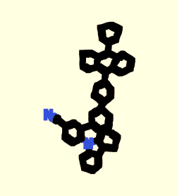 N#Cc1ccc(-n2c3ccccc3c3ccccc32)c(-c2cccc(-c3ccc(-c4c5ccccc5c(-c5ccccc5)c5ccccc45)cc3)c2)c1